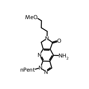 CCCCCn1ncc2c(N)c3c(nc21)CN(CCCOC)C3=O